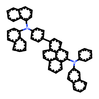 c1ccc(N(c2ccc3ccccc3c2)c2cc3ccc(-c4ccc(N(c5cccc6ccccc56)c5cccc6ccccc56)cc4)c4ccc5cccc2c5c34)cc1